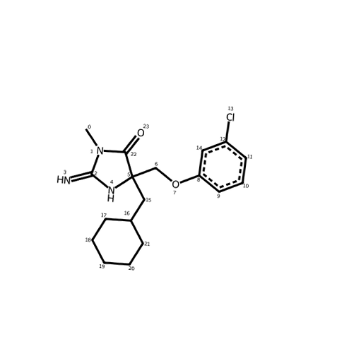 CN1C(=N)NC(COc2cccc(Cl)c2)(CC2CCCCC2)C1=O